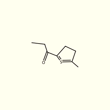 CCC(=O)C1=S=C(C)CC1